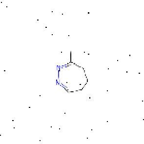 CC1=NN=CCCC1